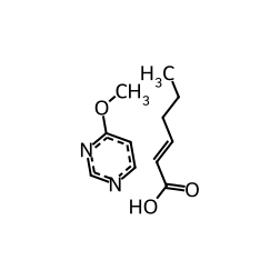 CCCC=CC(=O)O.COc1ccncn1